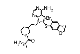 C[C@@H](N)C(=O)N1CCCC(CCn2c(Sc3cc4c(cc3Br)OCO4)nc3c(N)ncnc32)C1